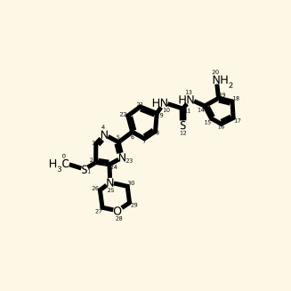 CSc1cnc(-c2ccc(NC(=S)Nc3ccccc3N)cc2)nc1N1CCOCC1